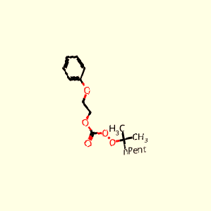 CCCCCC(C)(C)OOC(=O)OCCOc1ccccc1